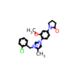 COc1cc(N2CCCC2=O)ccc1-n1cc(C)[n+](Cc2ccccc2Cl)c1